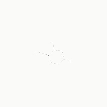 O=CC1=C(Cl)C=C(F)CC1